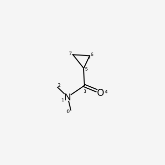 CN(C)C(=O)C1[CH]C1